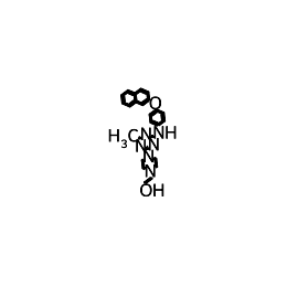 Cc1nc(Nc2ccc(Oc3ccc4ccccc4c3)cc2)nc(N2CCN(CCO)CC2)n1